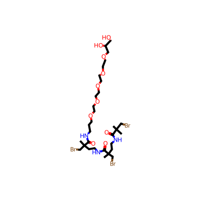 CC(C)(CBr)C(=O)NCCC(C)(CBr)C(=O)NCCC(C)(CBr)C(=O)NCCCOCCOCCOCCOCCOCC(O)CO